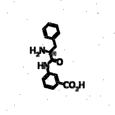 N[C@@H](Cc1ccccc1)C(=O)Nc1cccc(C(=O)O)c1